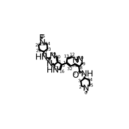 CN1CCC(NC(=O)c2cnn3ccc(-c4c[nH]c5nc(NC6CCN(F)CC6)ncc45)cc23)CC1